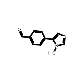 Cn1cncc1-c1ccc(C=O)cc1